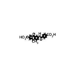 Cn1c2ccc(NC(=O)c3ccc(C(=O)O)cc3)cc2c(=O)n2nc(C(=O)O)cc12